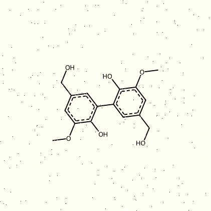 COc1cc(CO)cc(-c2cc(CO)cc(OC)c2O)c1O